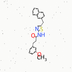 COc1cccc(CCC(=O)Nc2ncc(Cc3ccc4ccccc4c3)s2)c1